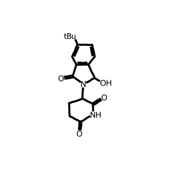 CC(C)(C)c1ccc2c(c1)C(=O)N(C1CCC(=O)NC1=O)C2O